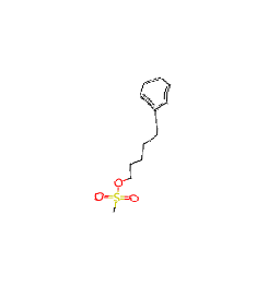 CS(=O)(=O)OCCCCCc1ccccc1